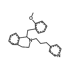 COc1ccccc1CC1c2ccccc2CCN1CCCc1ccncc1